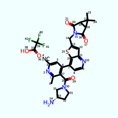 Cc1nc(C#N)cc(-c2ccnc3cc(CN4C(=O)C5C(C4=O)C5(C)C)sc23)c1C(=O)N1CC[C@H](N)C1.O=C(O)C(F)(F)F